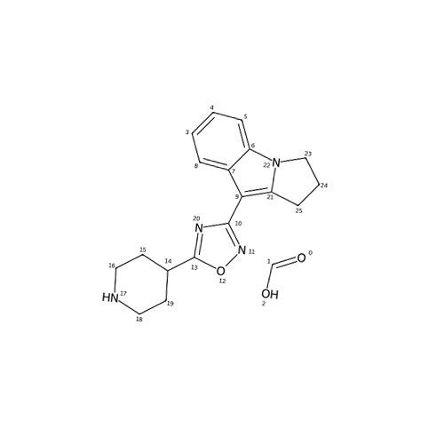 O=CO.c1ccc2c(c1)c(-c1noc(C3CCNCC3)n1)c1n2CCC1